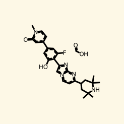 Cn1ccc(-c2cc(O)c(-c3cn4ccc(C5CC(C)(C)NC(C)(C)C5)nc4n3)c(F)c2)cc1=O.O=CO